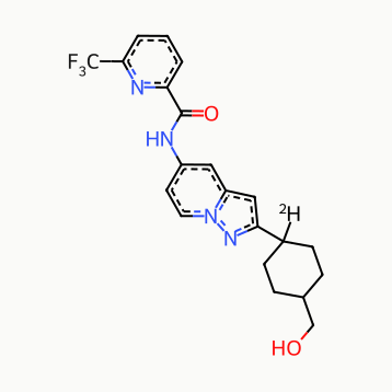 [2H]C1(c2cc3cc(NC(=O)c4cccc(C(F)(F)F)n4)ccn3n2)CCC(CO)CC1